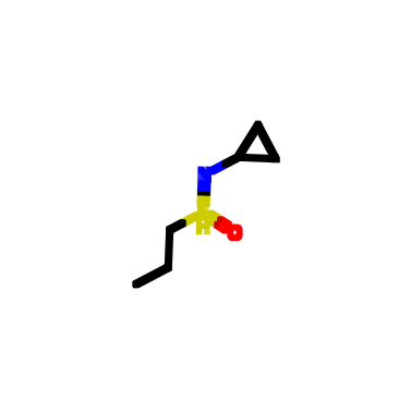 CCC/[SH](=O)=N/C1CC1